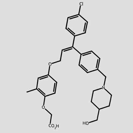 Cc1cc(OC/C=C(/c2ccc(Cl)cc2)c2ccc(CN3CCC(CO)CC3)cc2)ccc1OCC(=O)O